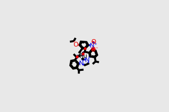 CC(C)Oc1ccc([N+](=O)[O-])cc1[CH]=[Ru]([I])([I])=[C]1N(c2c(C(C)C)cccc2C(C)C)CCN1c1c(C(C)C)cccc1C(C)C